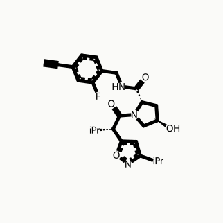 C#Cc1ccc(CNC(=O)[C@@H]2C[C@@H](O)CN2C(=O)[C@H](c2cc(C(C)C)no2)C(C)C)c(F)c1